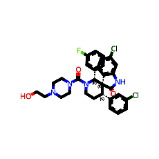 O=C(N1CCN(CCO)CC1)N1CC[C@@H](c2cccc(Cl)c2)[C@]2(C(=O)Nc3cc(Cl)ccc32)[C@H]1c1cccc(F)c1